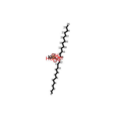 CCCCCCCCCCCCCOCCCCCCCCCCCCC.O=P(O)(O)O.[KH]